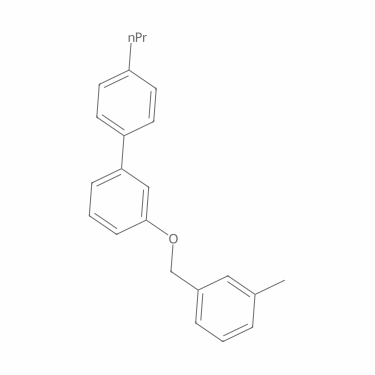 CCCc1ccc(-c2cccc(OCc3cccc(C)c3)c2)cc1